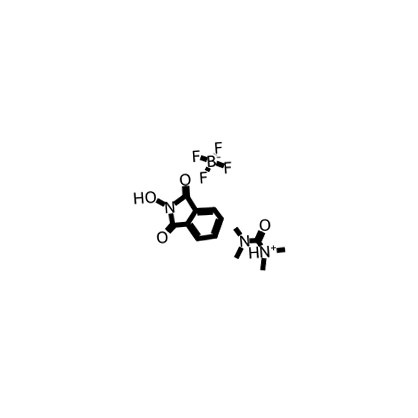 CN(C)C(=O)[NH+](C)C.F[B-](F)(F)F.O=C1c2ccccc2C(=O)N1O